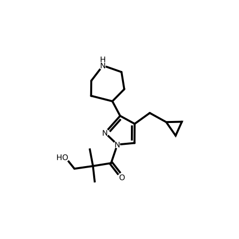 CC(C)(CO)C(=O)n1cc(CC2CC2)c(C2CCNCC2)n1